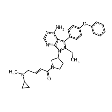 CCc1c(-c2ccc(Oc3ccccc3)cc2)c2c(N)ncnc2n1C1CCN(C(=O)C=CCN(C)C2CC2)C1